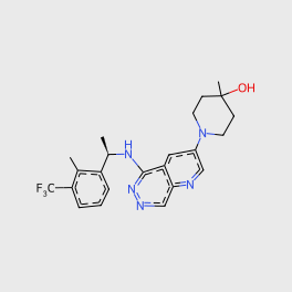 Cc1c([C@@H](C)Nc2nncc3ncc(N4CCC(C)(O)CC4)cc23)cccc1C(F)(F)F